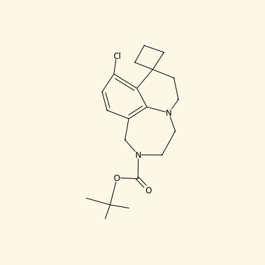 CC(C)(C)OC(=O)N1CCN2CCC3(CCC3)c3c(Cl)ccc(c32)C1